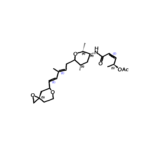 CC(=O)O[C@@H](C)/C=C\C(=O)N[C@@H]1C[C@H](C)C(C/C=C(C)/C=C/C2C[C@@]3(CCO2)CO3)O[C@@H]1C